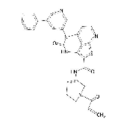 C=CC(=O)N1CCC=C(NC(=O)c2sc3nccc4c3c2NC(=O)N4c2cncc(-c3ccccc3)c2)C1